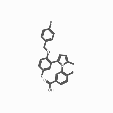 Cc1ccc(-c2cc(Br)ccc2OCc2ccc(F)cc2)n1-c1cc(C(=O)O)ccc1F